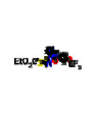 CCOC(=O)CSc1cnc(NC(=O)N(CC2CCCC2)c2ccc(OC(F)(F)F)cc2)s1